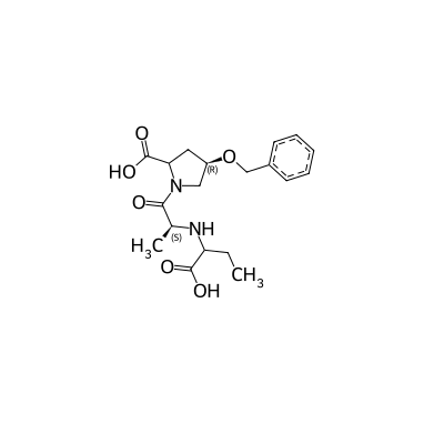 CCC(N[C@@H](C)C(=O)N1C[C@H](OCc2ccccc2)CC1C(=O)O)C(=O)O